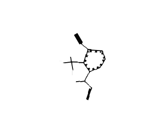 C#Cc1cccc([C](C)C=C)c1C(F)(F)F